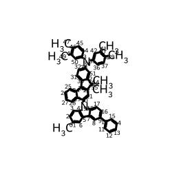 Cc1ccc2c(c1)c1cc(-c3ccccc3)ccc1n2-c1cc2c(c3ccccc13)-c1ccc(N(c3ccc(C)c(C)c3)c3ccc(C)c(C)c3)cc1C2(C)C